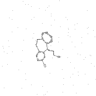 Clc1ccc2c(c1)/C(=C\CBr)c1ccccc1CS2